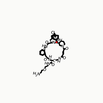 NCCOCCNC(=O)[C@@H]1CCNC(=O)/C=C/C(=O)N2CCC[C@@](Cc3ccc(Cl)cc3)(C2)C(O)N[C@@H](Cc2ccco2)C(=O)NCc2ccccc2CC(=O)N1